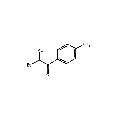 CCC(C(C)=O)C(=O)c1ccc(C)cc1